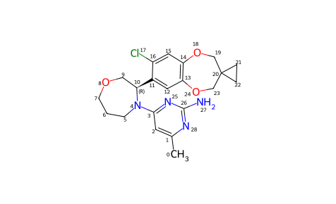 Cc1cc(N2CCCOC[C@H]2c2cc3c(cc2Cl)OCC2(CC2)CO3)nc(N)n1